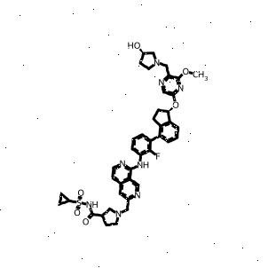 COc1nc(O[C@@H]2CCc3c(-c4cccc(Nc5nccc6cc(CN7CCC(C(=O)NS(=O)(=O)C8CC8)C7)ncc56)c4F)cccc32)cnc1CN1CC[C@@H](O)C1